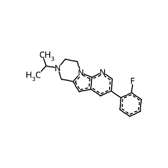 CC(C)N1CCn2c(cc3cc(-c4ccccc4F)cnc32)C1